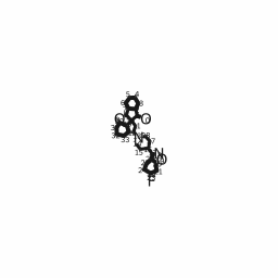 O=C1c2ccccc2C(=O)C1(CCN1CCC(c2noc3cc(F)ccc23)CC1)c1ccccc1